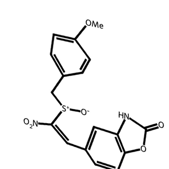 COc1ccc(C[S+]([O-])C(=Cc2ccc3oc(=O)[nH]c3c2)[N+](=O)[O-])cc1